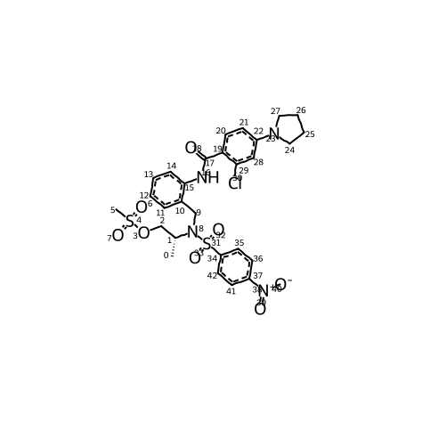 C[C@H](COS(C)(=O)=O)N(Cc1ccccc1NC(=O)c1ccc(N2CCCC2)cc1Cl)S(=O)(=O)c1ccc([N+](=O)[O-])cc1